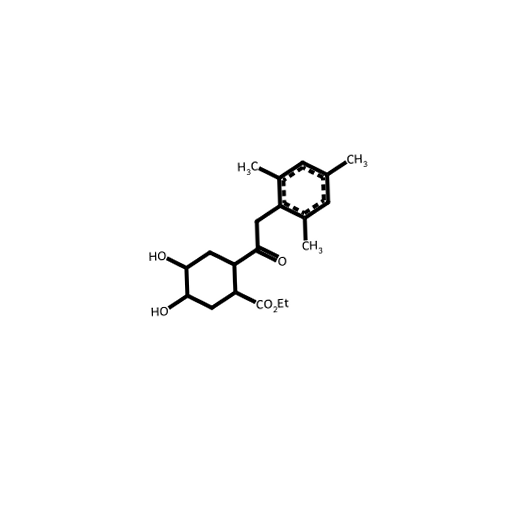 CCOC(=O)C1CC(O)C(O)CC1C(=O)Cc1c(C)cc(C)cc1C